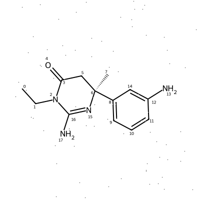 CCN1C(=O)C[C@@](C)(c2cccc(N)c2)N=C1N